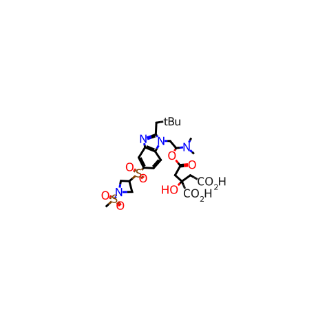 CN(C)C(Cn1c(CC(C)(C)C)nc2cc(S(=O)(=O)C3CN(S(C)(=O)=O)C3)ccc21)OC(=O)CC(O)(CC(=O)O)C(=O)O